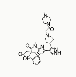 CN1CCN(C(=O)CN2CCC(c3n[nH]cc3-c3csc(N(C)C(=O)C4(CC(=O)O)Cc5ccccc5C4)n3)CC2)CC1